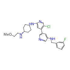 COCCN[C@H]1CC[C@H](Nc2cc(-c3cncc(NCc4cccc(F)c4)c3)c(Cl)cn2)CC1